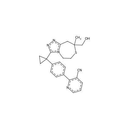 CC1(CO)Cc2nnc(C3(c4ccc(-c5ncccc5C#N)cc4)CC3)n2CCS1